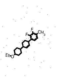 CCOC1CCC(C2C=CC(c3ccc(C)c(F)c3F)CC2)CC1